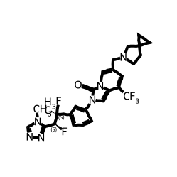 Cn1cnnc1[C@H](F)[C@@](C)(F)c1cccc(-n2cc3c(C(F)(F)F)cc(CN4CCC5(CC5)C4)cn3c2=O)c1